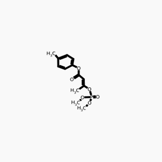 COP(=O)(OC)O/C(C)=C/C(=O)Oc1ccc(C)cc1